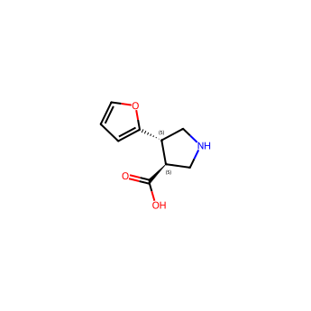 O=C(O)[C@@H]1CNC[C@H]1c1ccco1